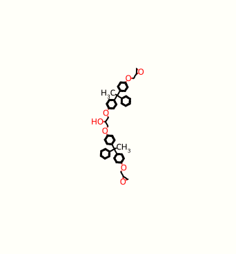 CC(c1ccccc1)(c1ccc(OCC(O)COc2ccc(C(C)(c3ccccc3)c3ccc(OCC4CO4)cc3)cc2)cc1)c1ccc(OCC2CO2)cc1